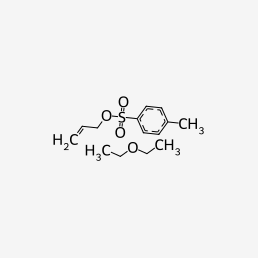 C=CCOS(=O)(=O)c1ccc(C)cc1.CCOCC